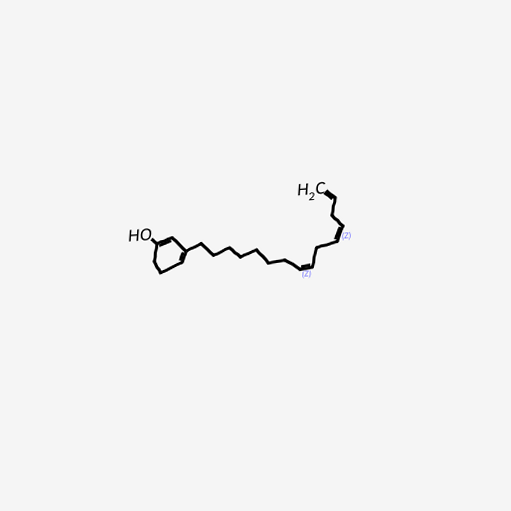 C=CC/C=C\C/C=C\CCCCCCCC1=CCCC(O)=C1